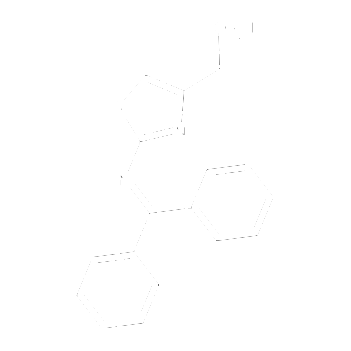 O=C(O)Cc1csc(N=C(c2ccccc2)c2ccccc2)n1